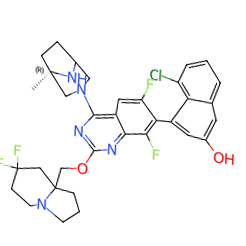 C[C@@]12CCC(CN(c3nc(OCC45CCCN4CCC(F)(F)C5)nc4c(F)c(-c5cc(O)cc6cccc(Cl)c56)c(F)cc34)C1)N2